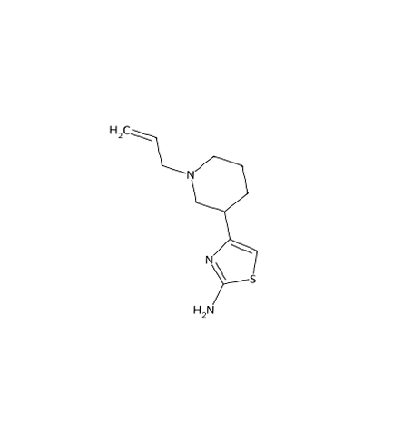 C=CCN1CCCC(c2csc(N)n2)C1